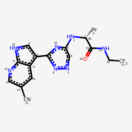 CC(C)[C@@H](Nc1cnnc(-c2c[nH]c3ncc(C#N)cc23)n1)C(=O)NCC(F)(F)F